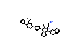 C=c1c(-c2ccc(-c3ccc4c(c3)C(C)(C)c3ccccc3-4)cc2)c2ccccc2c(-c2ccc3ccccc3c2)/c1=C/C=N